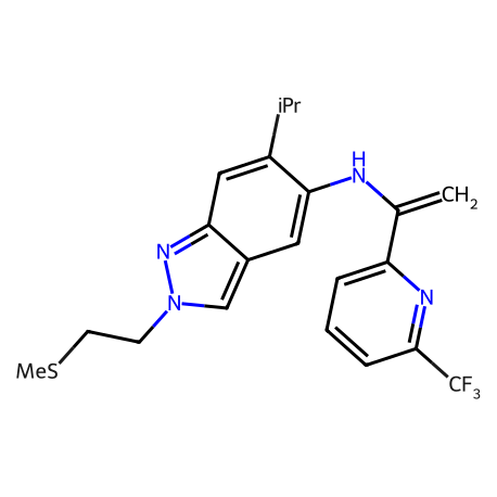 C=C(Nc1cc2cn(CCSC)nc2cc1C(C)C)c1cccc(C(F)(F)F)n1